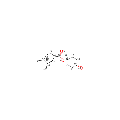 CC1C2CC(C(=O)OC3(C)CCC(=O)CC3)C(C2)C1C